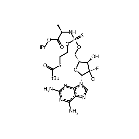 CC(C)OC(=O)[C@@H](C)NP(=S)(OCCSC(=O)C(C)(C)C)OC[C@H]1O[C@@H](n2cnc3c(N)nc(N)nc32)[C@](F)(Cl)[C@@H]1O